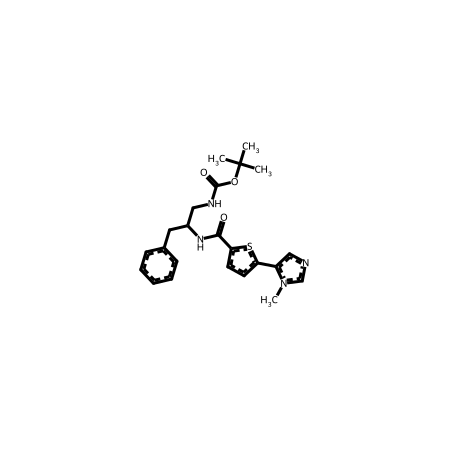 Cn1cncc1-c1ccc(C(=O)NC(CNC(=O)OC(C)(C)C)Cc2ccccc2)s1